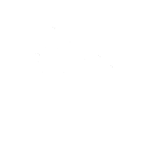 CCCCOC(=O)[N-]S(=O)(=O)c1sc(CC(C)C)cc1-c1ccc(Cn2ccnc2)cc1.[Na+]